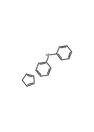 C1=CCC=C1.c1ccc(Pc2ccccc2)cc1